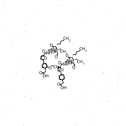 CCCCC[C@@H](C(=O)NCNC(=O)c1ccc(-c2ccc(CC(=O)O)c(OCC)c2)o1)[C@@H](CC)N(O)C=O.CCCCC[C@@H](C(=O)NCNC(=O)c1ccc(-c2ccc(CC(=O)O)cc2)o1)[C@@H](CC)N(O)C=O